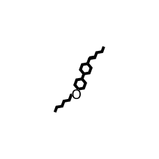 CCCC=CC1CCC(C2CCC(OCCCCCC)CC2)CC1